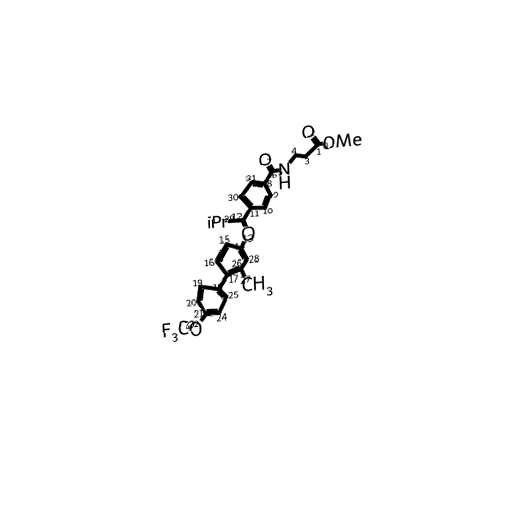 COC(=O)CCNC(=O)c1ccc(C(Oc2ccc(-c3ccc(OC(F)(F)F)cc3)c(C)c2)C(C)C)cc1